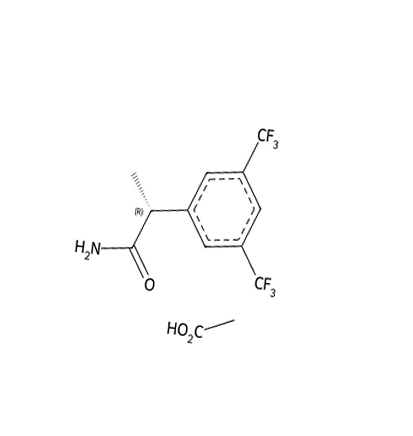 CC(=O)O.C[C@@H](C(N)=O)c1cc(C(F)(F)F)cc(C(F)(F)F)c1